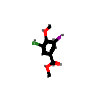 COC(=O)c1cc(Cl)c(OC)c(I)c1